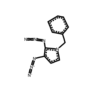 [N-]=[N+]=Nc1ccn(Cc2ccccc2)c1N=[N+]=[N-]